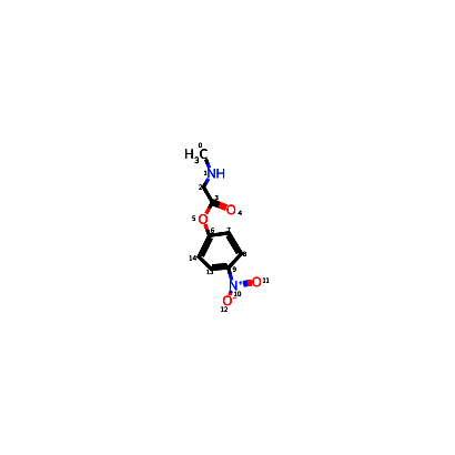 CNCC(=O)Oc1ccc([N+](=O)[O-])cc1